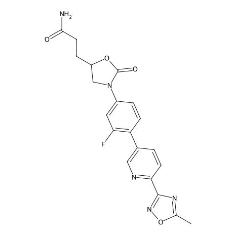 Cc1nc(-c2ccc(-c3ccc(N4CC(CCC(N)=O)OC4=O)cc3F)cn2)no1